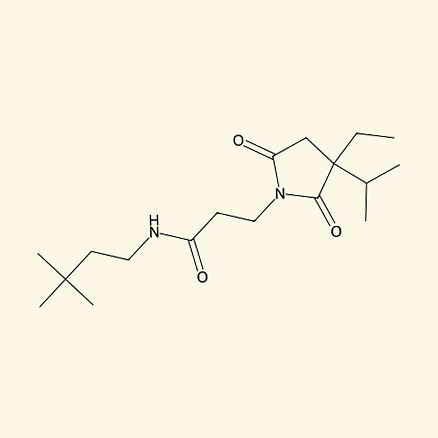 CCC1(C(C)C)CC(=O)N(CCC(=O)NCCC(C)(C)C)C1=O